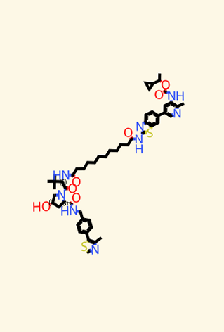 Cc1ncc(-c2ccc3nc(NC(=O)CCCCCCCCCCC(=O)N[C@H](C(=O)N4C[C@H](O)C[C@H]4C(=O)NCc4ccc(-c5scnc5C)cc4)C(C)(C)C)sc3c2)cc1NC(=O)OC(C)C1CC1